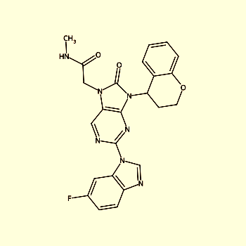 CNC(=O)Cn1c(=O)n(C2CCOc3ccccc32)c2nc(-n3cnc4ccc(F)cc43)ncc21